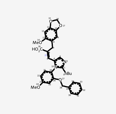 CCCCc1ncc(/C=C(\Cc2cc3c(cc2OC)OCO3)C(=O)O)n1-c1ccc(OC)cc1OCc1ccccc1